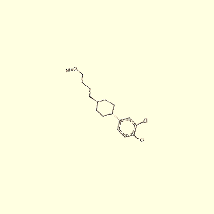 COCCCC[C@H]1CC[C@H](c2ccc(Cl)c(Cl)c2)CC1